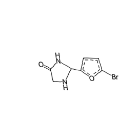 O=C1CNC(c2ccc(Br)o2)N1